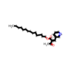 CCCCCCCCCCCCCCOC(=O)C(=Cc1cccnc1)C(C)=O